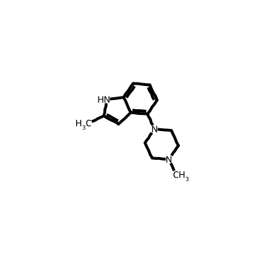 Cc1cc2c(N3CCN(C)CC3)cccc2[nH]1